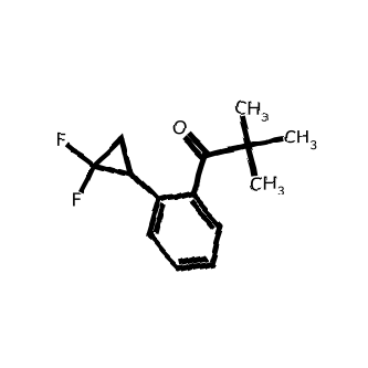 CC(C)(C)C(=O)c1ccccc1C1CC1(F)F